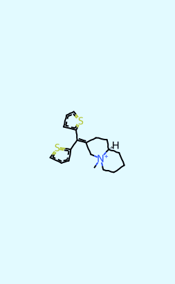 C[N+]12CCCC[C@@H]1CCC(=C(c1cccs1)c1cccs1)C2